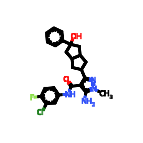 Cn1nc(C2CC3CC(O)(c4ccccc4)CC3C2)c(C(=O)Nc2ccc(F)c(Cl)c2)c1N